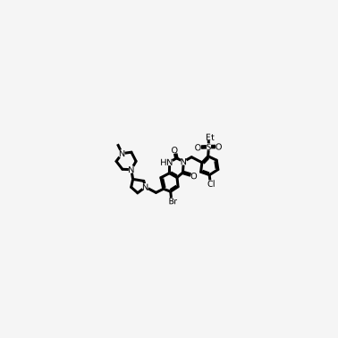 CCS(=O)(=O)c1ccc(Cl)cc1Cn1c(=O)[nH]c2cc(CN3CCC(N4CCN(C)CC4)C3)c(Br)cc2c1=O